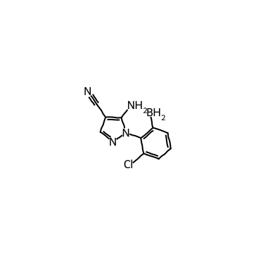 Bc1cccc(Cl)c1-n1ncc(C#N)c1N